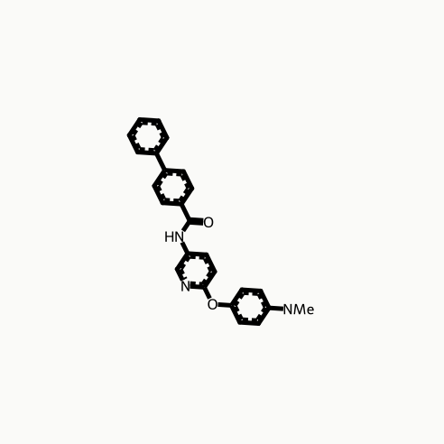 CNc1ccc(Oc2ccc(NC(=O)c3ccc(-c4ccccc4)cc3)cn2)cc1